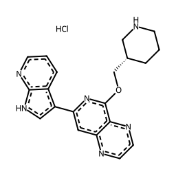 Cl.c1cnc2[nH]cc(-c3cc4nccnc4c(OC[C@H]4CCCNC4)n3)c2c1